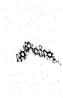 CSc1ccc(CNC(=O)[C@H]2CN(c3ncnc4nn(-c5ccc(C(F)(F)F)c(F)c5)cc34)CCN2C)cc1